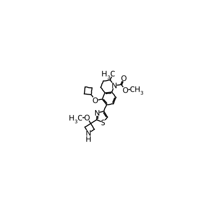 COC(=O)N1c2ccc(-c3csc(C4(OC)CNC4)n3)c(OC3CCC3)c2CCC1C